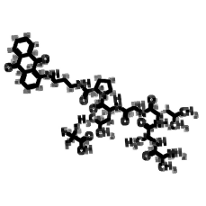 CC(C)C[C@H](NC(=O)[C@H](C)NC(=O)[C@H](C)N)C(=O)NCC(=O)N[C@@H](CC(C)C)C(=O)N1CCC[C@@H]1C(=O)NCCCNc1cccc2c1C(=O)c1ccccc1C2=O.O=C(O)C(F)(F)F